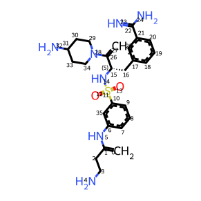 C=C(CCN)Nc1cccc(S(=O)(=O)N[C@@H](Cc2cccc(C(=N)N)c2)C(=C)N2CCC(N)CC2)c1